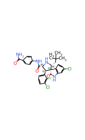 CC(C)(C)C[C@H]1N[C@@H](C(=O)Nc2ccc(C(N)=O)cc2)[C@H](c2cccc(Cl)c2F)[C@@]12C(=O)Nc1cc(Cl)ccc12